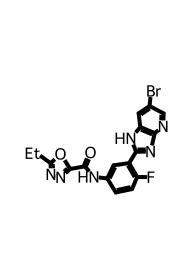 CCc1nnc(C(=O)Nc2ccc(F)c(-c3nc4ncc(Br)cc4[nH]3)c2)o1